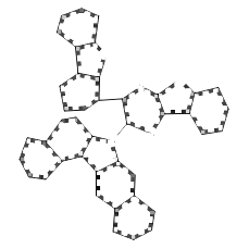 c1ccc2cc3c(cc2c1)c1c2ccccc2ccc1n3-c1nc2c(nc1-c1cccc3c1oc1ccccc13)oc1ccccc12